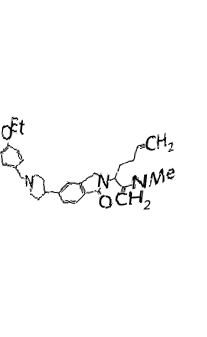 C=CCCC(C(=C)NC)N1Cc2cc(C3CCN(Cc4ccc(OCC)cc4)CC3)ccc2C1=O